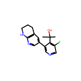 CC(C)(O)c1c(F)cncc1-c1cnc2c(c1)CCCN2